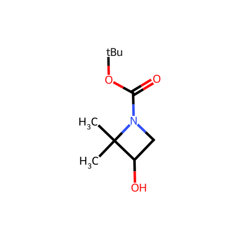 CC(C)(C)OC(=O)N1CC(O)C1(C)C